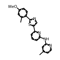 COc1ccc(-c2ncc(-c3cccc(Nc4cc(C)ccn4)n3)s2)c(C)c1